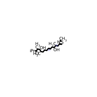 C/C(=C\c1csc(C)n1)C(O)C/C=C/CCCC(C)C(O)C(C)C(=O)C(C)C